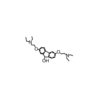 CCN(CC)CCOc1ccc2c(c1)-c1ccc(OCCN(CC)CC)cc1C2O